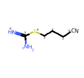 N#CCCCSC(=N)N